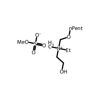 CCCCCOC[N+](C)(CC)CCO.COS(=O)(=O)[O-]